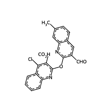 Cc1ccc2cc(C=O)c(Oc3nc4ccccc4c(Cl)c3C(=O)O)nc2c1